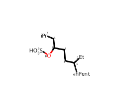 CCCCCC(CC)CCC(CC(C)C)OS(=O)(=O)O